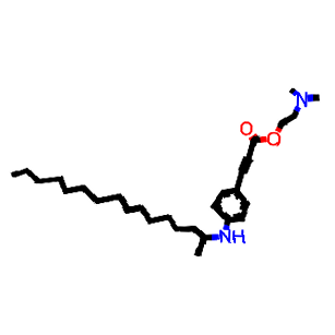 CCCCCCCCCCCCCCC(C)Nc1ccc(C#CC(=O)OCCN(C)C)cc1